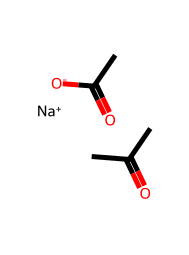 CC(=O)[O-].CC(C)=O.[Na+]